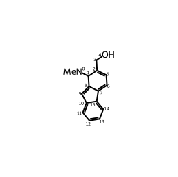 CNC1C(CO)=CC=C2C1=Cc1ccccc12